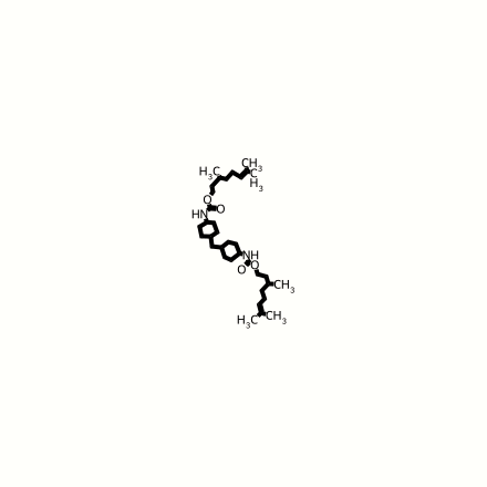 CC(C)=CCCC(C)CCOC(=O)NC1CCC(CC2CCC(NC(=O)OCCC(C)CCC=C(C)C)CC2)CC1